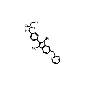 CC(C)CS(=O)(=O)Nc1ccc(-c2c(C#N)c3ccc(Oc4ncccn4)cc3n2C(C)C)cc1